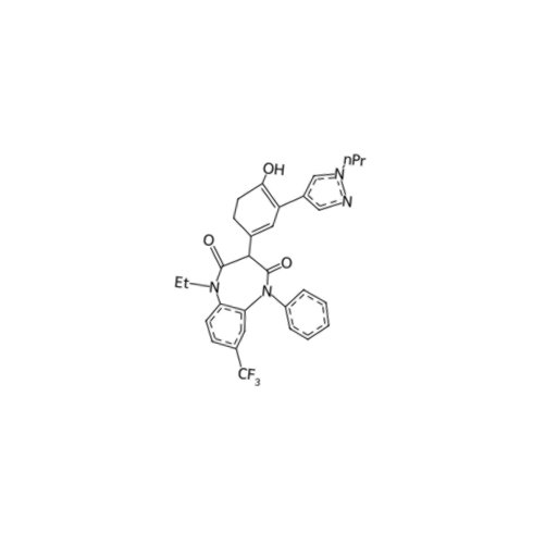 CCCn1cc(C2=C(O)CCC(C3C(=O)N(CC)c4ccc(C(F)(F)F)cc4N(c4ccccc4)C3=O)=C2)cn1